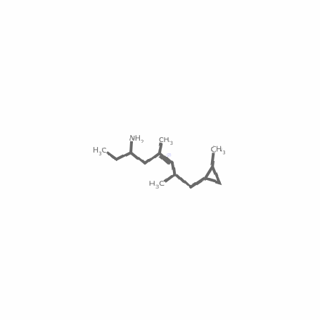 CCC(N)C/C(C)=C\C(C)CC1CC1C